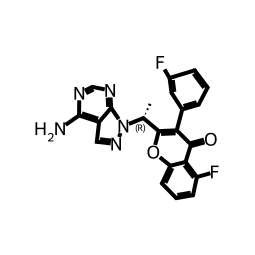 C[C@H](c1oc2cccc(F)c2c(=O)c1-c1cccc(F)c1)n1ncc2c(N)ncnc21